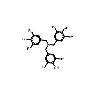 CC(C)c1cc(CN(Cc2cc(C(C)C)c(O)c(C(C)C)c2)Cc2cc(C(C)C)c(O)c(C(C)C)c2)cc(C(C)C)c1O